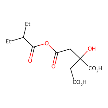 CCC(CC)C(=O)OC(=O)CC(O)(CC(=O)O)C(=O)O